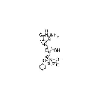 COC(=O)[C@H](C)NP(=O)(OC[C@H]1O[C@@H](n2cnc3c(=O)[nH]c(N)nc32)C[C@H]1O)Oc1ccccc1